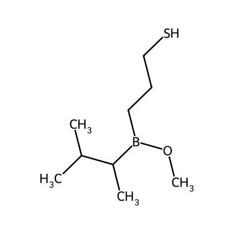 COB(CCCS)C(C)C(C)C